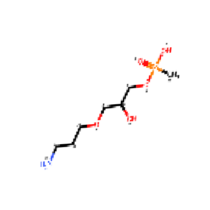 CP(=O)(O)OCC(O)COCCCN